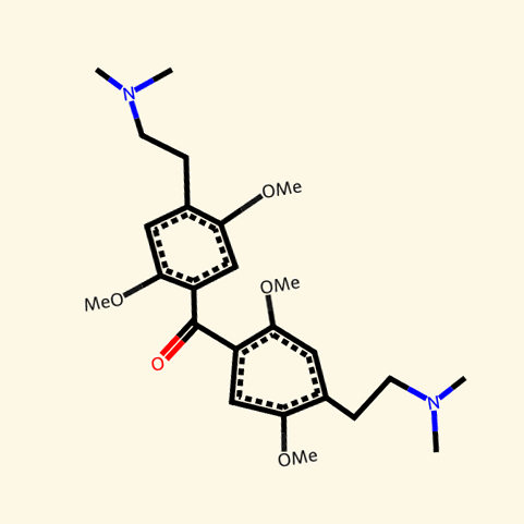 COc1cc(C(=O)c2cc(OC)c(CCN(C)C)cc2OC)c(OC)cc1CCN(C)C